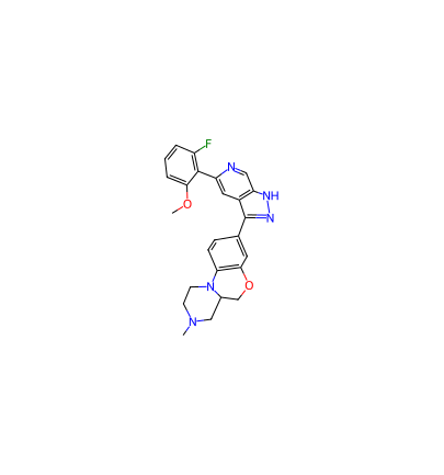 COc1cccc(F)c1-c1cc2c(-c3ccc4c(c3)OCC3CN(C)CCN43)n[nH]c2cn1